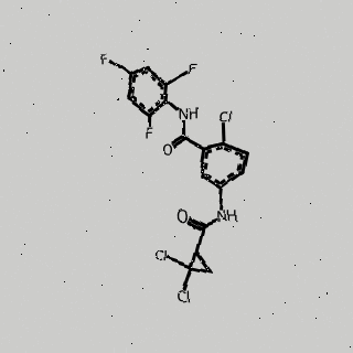 O=C(Nc1c(F)cc(F)cc1F)c1cc(NC(=O)C2CC2(Cl)Cl)ccc1Cl